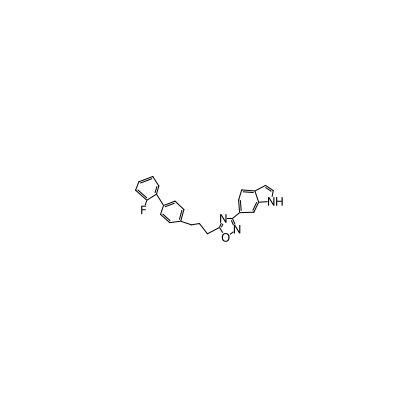 Fc1ccccc1-c1ccc(CCCc2nc(-c3ccc4cc[nH]c4c3)no2)cc1